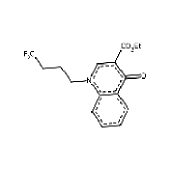 CCOC(=O)c1cn(CCCC(F)(F)F)c2ccccc2c1=O